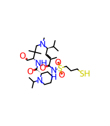 C/C(=C\[C@H](C(C)C)N(C)CC(C)(C)[C@@H](C=O)NC(=O)[C@@H]1CCCCN1C(C)C)C(=O)NS(=O)(=O)CCCS